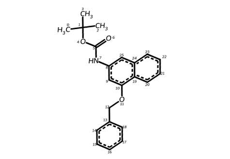 CC(C)(C)OC(=O)Nc1cc(OCc2ccccc2)c2ccccc2c1